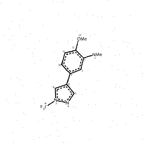 CNc1cc(-c2cnn(C(F)(F)F)c2)ccc1OC